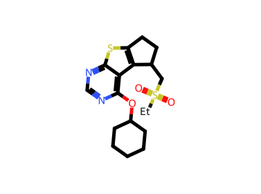 CCS(=O)(=O)CC1CCc2sc3ncnc(OC4CCCCC4)c3c21